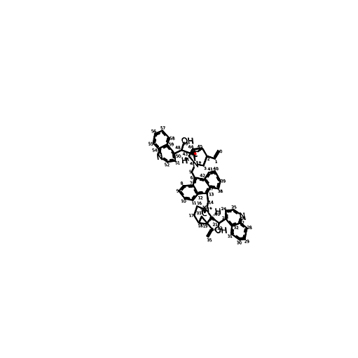 C=CC1C[N+]2(Cc3c4ccccc4c(C[N+]45CCC(C[C@@H]4C(O)c4ccnc6ccccc46)C(C=C)C5)c4ccccc34)CCC1C[C@@H]2C(O)c1ccnc2ccccc12